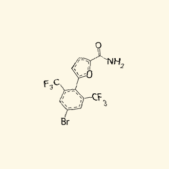 NC(=O)c1ccc(-c2c(C(F)(F)F)cc(Br)cc2C(F)(F)F)o1